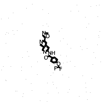 O=C(Nc1cc2cc(-c3cnco3)ncc2cn1)c1ccc(OC(F)F)cc1